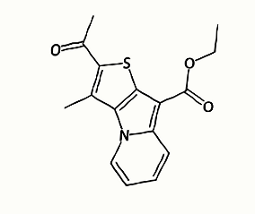 CCOC(=O)c1c2sc(C(C)=O)c(C)c2n2ccccc12